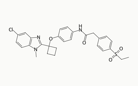 CCS(=O)(=O)c1ccc(CC(=O)Nc2ccc(OC3(c4nc5cc(Cl)ccc5n4C)CCC3)cc2)cc1